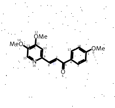 COc1ccc(C(=O)/C=C/c2cc(OC)c(OC)cn2)cc1